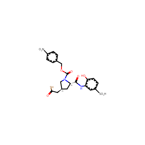 O=C(S)C[C@@H]1C[C@@H](C(=O)Nc2cc(S(=O)(=O)O)ccc2O)N(C(=O)OCc2ccc([N+](=O)[O-])cc2)C1